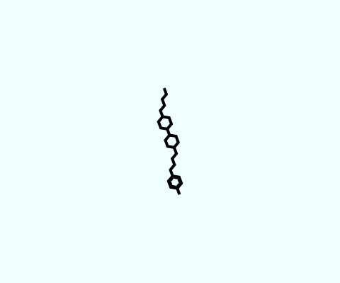 CCCCCC1CCC(C2CCC(CCCCc3ccc(C)cc3)CC2)CC1